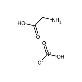 NCC(=O)O.O=[N+]([O-])O